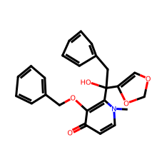 Cn1ccc(=O)c(OCc2ccccc2)c1C(O)(Cc1ccccc1)C1=COCO1